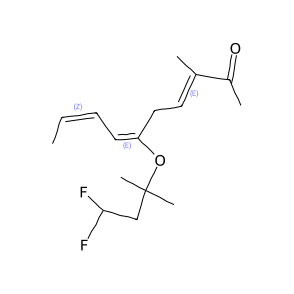 C/C=C\C=C(/C/C=C(\C)C(C)=O)OC(C)(C)CC(F)F